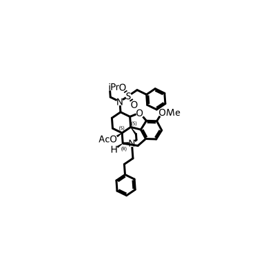 COc1ccc2c3c1OC1C(N(CC(C)C)S(=O)(=O)Cc4ccccc4)CC[C@@]4(OC(C)=O)[C@@H](C2)N(CCc2ccccc2)CC[C@]314